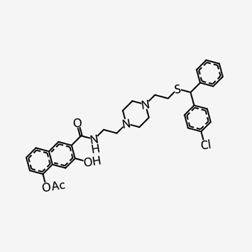 CC(=O)Oc1cccc2cc(C(=O)NCCN3CCN(CCSC(c4ccccc4)c4ccc(Cl)cc4)CC3)c(O)cc12